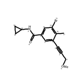 COCC#Cc1cc(C(=O)NC2CC2)cc(Br)c1C